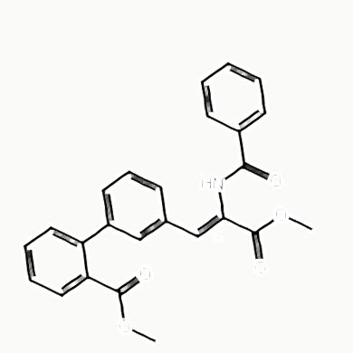 COC(=O)/C(=C/c1cccc(-c2ccccc2C(=O)OC)c1)NC(=O)c1ccccc1